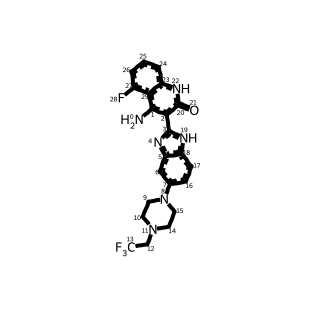 Nc1c(-c2nc3cc(N4CCN(CC(F)(F)F)CC4)ccc3[nH]2)c(=O)[nH]c2cccc(F)c12